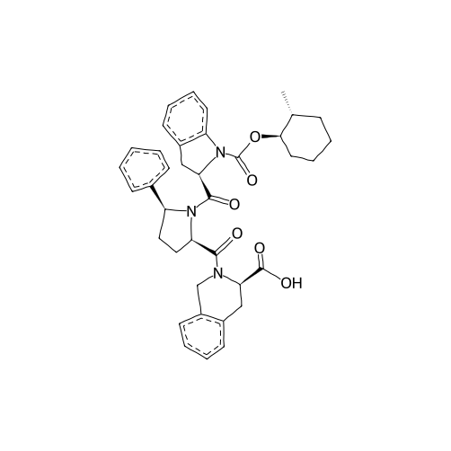 C[C@@H]1CCCC[C@H]1OC(=O)N1c2ccccc2C[C@@H]1C(=O)N1[C@@H](C(=O)N2Cc3ccccc3C[C@@H]2C(=O)O)CC[C@H]1c1ccccc1